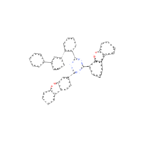 c1ccc(-c2cccc(-c3ccccc3-c3nc(-c4ccc5c(c4)oc4ccccc45)nc(-c4cccc5c4oc4ccccc45)n3)c2)cc1